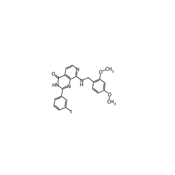 COc1ccc(CNc2nccc3c(=O)[nH]c(-c4cccc(I)c4)nc23)c(OC)c1